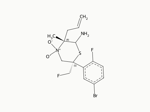 C=CC[C@]1(C)C(N)S[C@@](CF)(c2cc(Br)ccc2F)C[N+]1([O-])[O-]